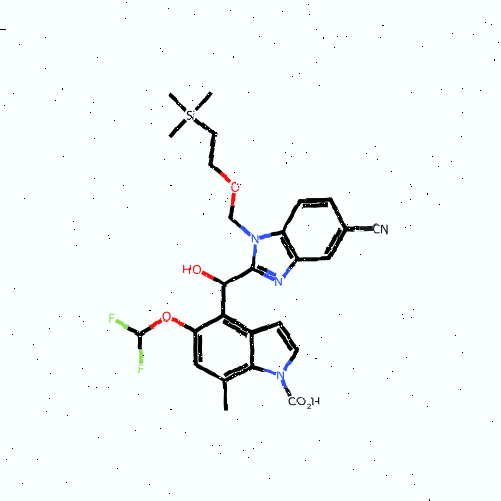 Cc1cc(OC(F)F)c(C(O)c2nc3cc(C#N)ccc3n2COCC[Si](C)(C)C)c2ccn(C(=O)O)c12